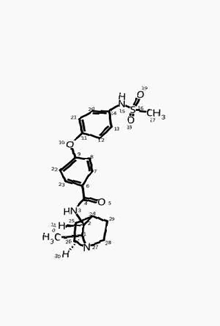 C[C@H]1[C@H](NC(=O)c2ccc(Oc3ccc(NS(C)(=O)=O)cc3)cc2)C2CCN1CC2